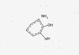 CCCc1ccccc1O.N